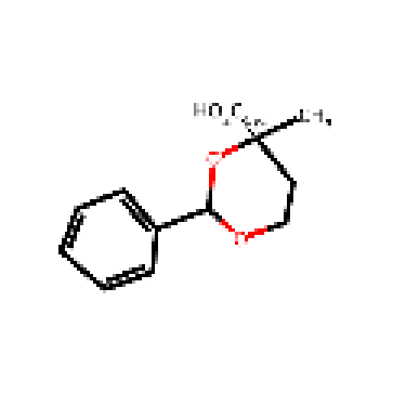 C[C@@]1(C(=O)O)CCOC(c2ccccc2)O1